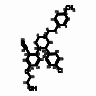 Cc1ccc(CCN2CCN(c3ccc(OCCO)cc3C#N)[C@H](c3ccc(Cl)cc3)C2)cc1